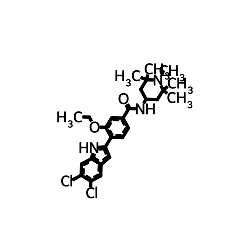 CCOc1cc(C(=O)NC2CC(C)(C)N(C)C(C)(C)C2)ccc1-c1cc2cc(Cl)c(Cl)cc2[nH]1